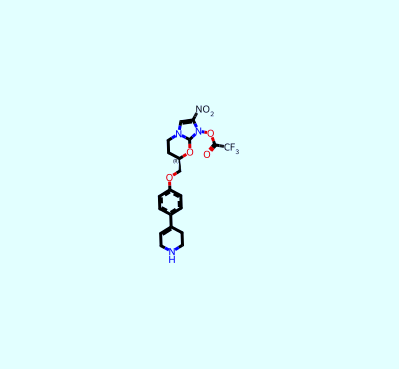 O=C(ON1C([N+](=O)[O-])=CN2CC[C@H](COc3ccc(C4=CCNCC4)cc3)OC21)C(F)(F)F